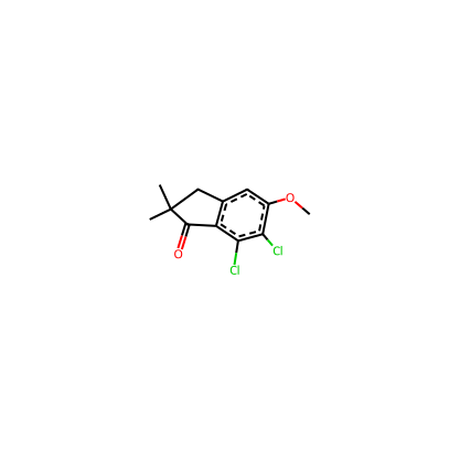 COc1cc2c(c(Cl)c1Cl)C(=O)C(C)(C)C2